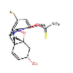 CNC(=S)ON1CC[C@]23C=C[C@@H](O)C[C@H]2Oc2c(OC)cc(Br)c(c23)C1